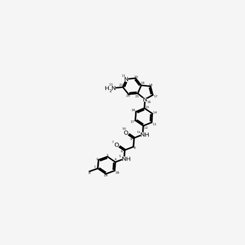 Cc1ccc(NC(=O)CC(=O)Nc2ccc(-n3ccc4cnc(N)cc43)cc2)cc1